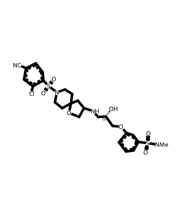 CNS(=O)(=O)c1cccc(OC[C@@H](O)CNC2COC3(CCN(S(=O)(=O)c4ccc(C#N)cc4Cl)CC3)C2)c1